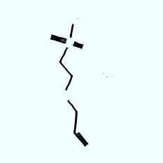 C=CCOCCS(=O)(=O)O.[NaH]